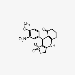 O=C1CCCC2=C1C(c1ccc(OC(F)(F)F)c([N+](=O)[O-])c1)C1=C(CCS1(=O)=O)N2